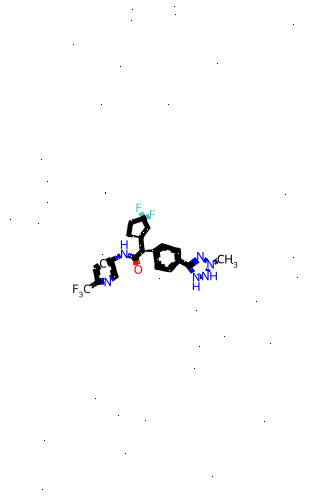 CN1N=C(c2ccc([C@@H](C(=O)Nc3ccc(C(F)(F)F)nc3)[C@H]3CCC(F)(F)C3)cc2)NN1